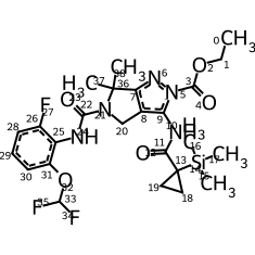 CCOC(=O)n1nc2c(c1NC(=O)C1([Si](C)(C)C)CC1)CN(C(=O)Nc1c(F)cccc1OC(F)F)C2(C)C